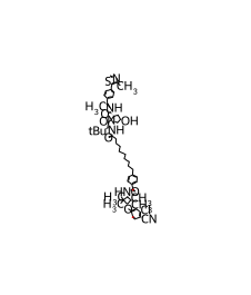 Cc1ncsc1-c1ccc([C@H](C)NC(=O)[C@@H]2C[C@@H](O)CN2C(=O)[C@@H](NC(=O)CCCCCCCCCc2ccc(C(=O)NC3C(C)(C)C(Oc4ccc(C#N)c(Cl)c4)C3(C)C)cc2)C(C)(C)C)cc1